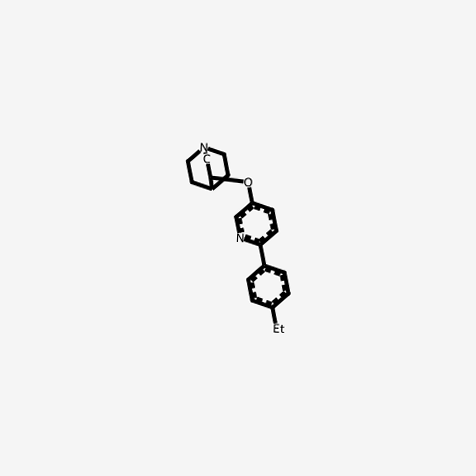 CCc1ccc(-c2ccc(OC3CN4CCC3CC4)cn2)cc1